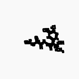 C[C@@H](O)C1(c2ccc(Cl)c(Cl)c2)CC1CNC(=O)OC(C)(C)C